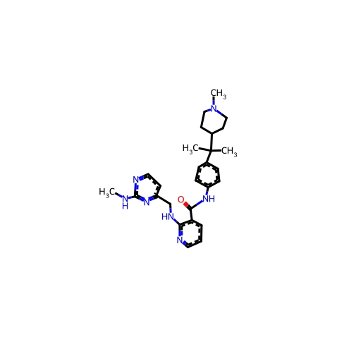 CNc1nccc(CNc2ncccc2C(=O)Nc2ccc(C(C)(C)C3CCN(C)CC3)cc2)n1